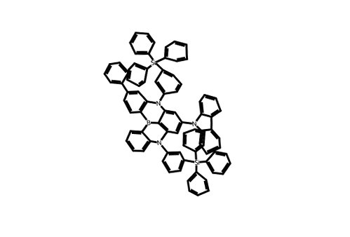 c1ccc(-c2ccc3c(c2)N(c2cccc([Si](c4ccccc4)(c4ccccc4)c4ccccc4)c2)c2cc(-n4c5ccccc5c5ccccc54)cc4c2B3c2ccccc2N4c2cccc([Si](c3ccccc3)(c3ccccc3)c3ccccc3)c2)cc1